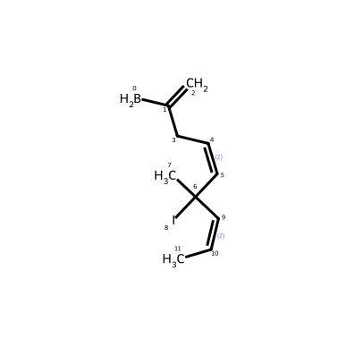 BC(=C)C/C=C\C(C)(I)/C=C\C